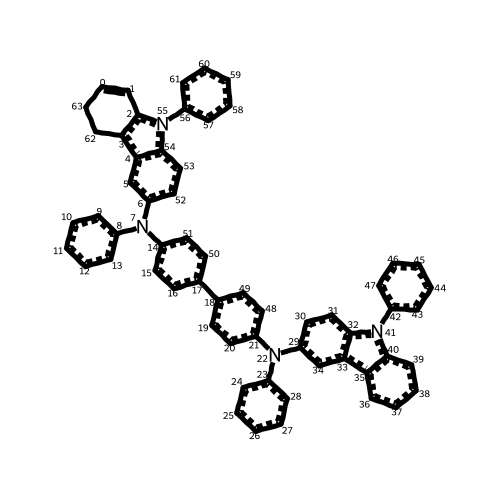 C1=Cc2c(c3cc(N(c4ccccc4)c4ccc(-c5ccc(N(c6ccccc6)c6ccc7c(c6)c6ccccc6n7-c6ccccc6)cc5)cc4)ccc3n2-c2ccccc2)CC1